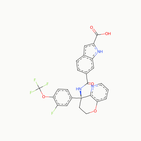 O=C(N[C@]1(c2ccc(OC(F)(F)F)c(F)c2)CCOc2cccnc21)c1ccc2cc(C(=O)O)[nH]c2c1